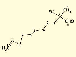 C=CCCCCCCCC(C)(C=O)CC